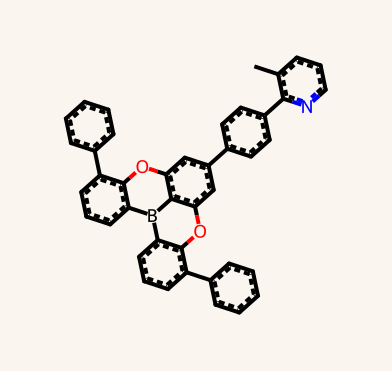 Cc1cccnc1-c1ccc(-c2cc3c4c(c2)Oc2c(cccc2-c2ccccc2)B4c2cccc(-c4ccccc4)c2O3)cc1